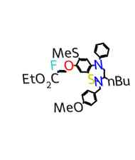 CCCCC1CN(c2ccccc2)c2cc(SC)c(O/C=C(\F)C(=O)OCC)cc2SN1Cc1ccc(OC)cc1